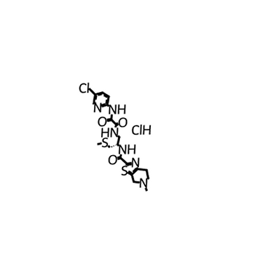 CSC[C@H](CNC(=O)C(=O)Nc1ccc(Cl)cn1)NC(=O)c1nc2c(s1)CN(C)CC2.Cl